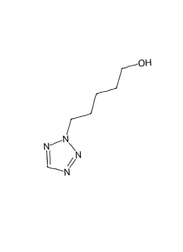 OCCCCCn1ncnn1